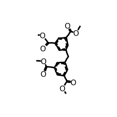 COC(=O)c1cc(Cc2cc(C(=O)OC)cc(C(=O)OC)c2)cc(C(=O)OC)c1